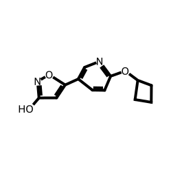 Oc1cc(-c2ccc(OC3CCC3)nc2)on1